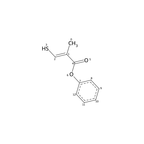 CC(=CS)C(=O)Oc1ccccc1